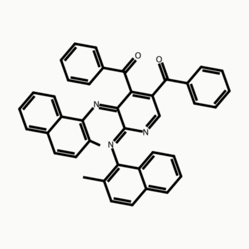 Cc1ccc2ccccc2c1N=C1N=CC(C(=O)c2ccccc2)=C(C(=O)c2ccccc2)C1=Nc1c(C)ccc2ccccc12